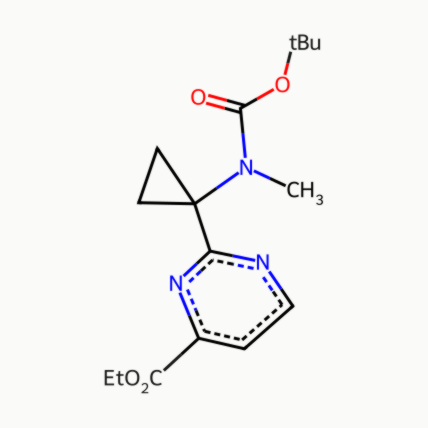 CCOC(=O)c1ccnc(C2(N(C)C(=O)OC(C)(C)C)CC2)n1